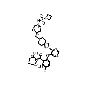 C[C@@H]1COC[C@@H](C)N1C(=O)c1cc(F)ccc1Oc1cncnc1N1CC2(CCN(C[C@@H]3CC[C@@H](NS(=O)(=O)N4CCC4)CO3)CC2)C1